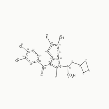 Cc1c([C@H](CC2CCC2)C(=O)O)c2cc(O)c(F)cc2n1C(=O)c1ccc(Cl)c(Cl)c1